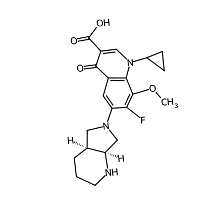 COc1c(F)c(N2C[C@@H]3CCCN[C@@H]3C2)cc2c(=O)c(C(=O)O)cn(C3CC3)c12